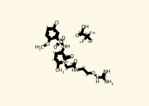 COc1ccc(Cl)cc1S(=O)(=O)Nc1ccc(C)n(CC(=O)NCCONC(=N)N)c1=O.O=C(O)C(F)(F)F